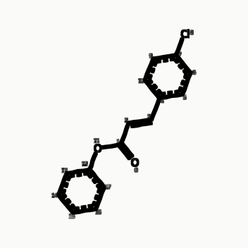 O=C(/C=C/c1ccc(Cl)cc1)Oc1ccccc1